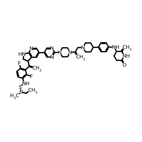 C=C1NC(=O)CCC1Nc1ccc(C2CCN(CC(=C)N3CCN(c4ncc(-c5cnc6c(c5)C(C(=C)c5c(F)ccc(NSN(C)CC)c5F)CN6)cn4)CC3)CC2)cc1